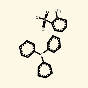 Cc1ccccc1S(=O)(=O)[O-].c1ccc([S+](c2ccccc2)c2ccccc2)cc1